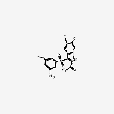 Cc1cc(C)cc(S(=O)(=O)c2c(C(N)=O)[nH]c3cc(Cl)c(F)cc23)c1